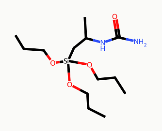 CCCO[Si](CC(C)NC(N)=O)(OCCC)OCCC